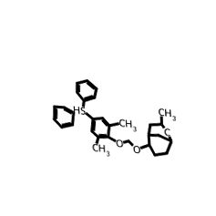 Cc1cc([SH](c2ccccc2)c2ccccc2)cc(C)c1OCOC1CCC2CC(C)CC1C2